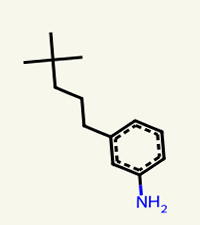 CC(C)(C)CCCc1cccc(N)c1